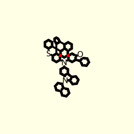 c1ccc2c(c1)Sc1ccc(N(c3ccc4oc5ccccc5c4c3)c3ccc4c(c3)c3ccccc3n4-c3cccc4ccccc34)cc1C21c2ccccc2-c2cccc3cccc1c23